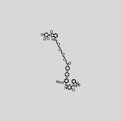 COc1cc(N2CCC(N3CCN(C(=O)CCOCCOCCOCCOCCNc4cccc5c4CN(C4CCC(=O)NC4=O)C5=O)CC3)CC2)ccc1Nc1ncc(Cl)c(Nc2ccccc2P(C)(C)=O)n1